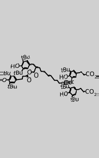 CC(C)(C)c1cc(CCC(=O)O)cc(C(C)(C)C)c1O.CC(C)(C)c1cc(CCC(=O)O)cc(C(C)(C)C)c1O.CCCCCCCCCCCCCCCCCCC(Cc1cc(C(C)(C)C)c(O)c(C(C)(C)C)c1)C(=O)OC(=O)CCc1cc(C(C)(C)C)c(O)c(C(C)(C)C)c1